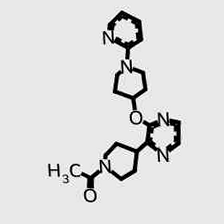 CC(=O)N1CCC(c2nccnc2OC2CCN(c3ccccn3)CC2)CC1